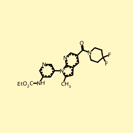 CCOC(=O)Nc1cncc(-n2c(C)cc3cc(C(=O)N4CCC(F)(F)CC4)cnc32)c1